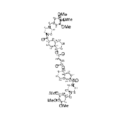 COc1cc(CN2CCN(C(=O)c3ccc4c(c3)CCCC4OC(=O)/C=C/C(=O)OC3CCCc4cc(C(=O)N5CCN(Cc6cc(OC)c(OC)c(OC)c6)CC5)ccc43)CC2)cc(OC)c1OC